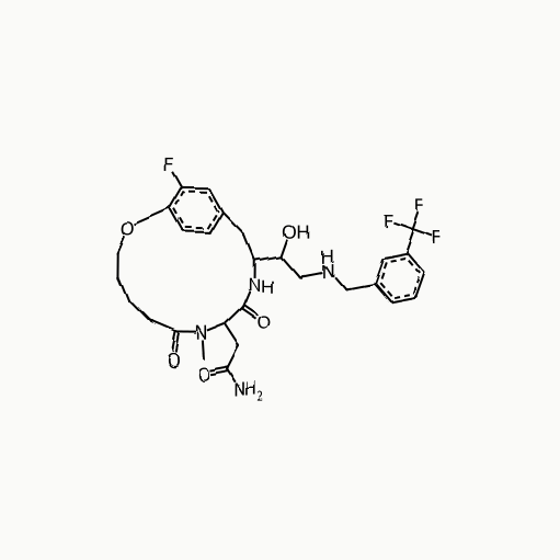 CN1C(=O)CCCCOc2ccc(cc2F)CC(C(O)CNCc2cccc(C(F)(F)F)c2)NC(=O)C1CC(N)=O